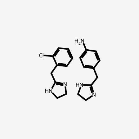 Clc1ccccc1CC1=NCCN1.Nc1ccc(CC2=NCCN2)cc1